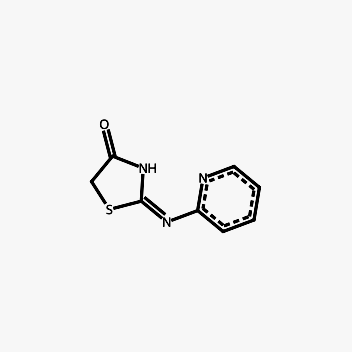 O=C1CSC(=Nc2ccccn2)N1